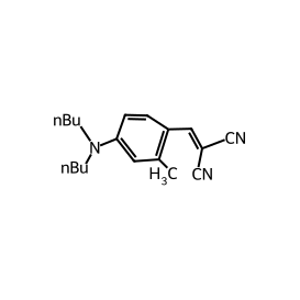 CCCCN(CCCC)c1ccc(C=C(C#N)C#N)c(C)c1